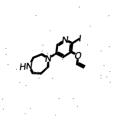 C=COc1cc(N2CCCNCC2)cnc1I